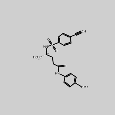 C#Cc1ccc(S(=O)(=O)N[C@H](CCC(=O)Nc2ccc(OC)cc2)C(=O)O)cc1